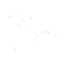 CN(C(=O)OC(C)(C)C)c1cc(-c2cn(-c3ccc(Cl)nn3)nc2-c2ccc(F)cc2)ccn1